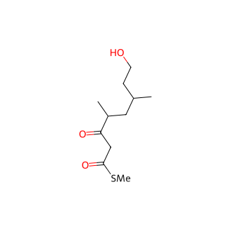 CSC(=O)CC(=O)C(C)CC(C)CCO